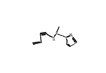 C=C/C=C\NB(C)n1cccn1